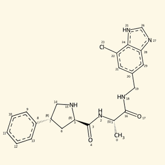 C[C@H](NC(=O)[C@H]1C[C@H](c2ccccc2)CN1)C(=O)NCc1cc(Cl)c2[nH]cnc2c1